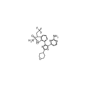 Nc1nccc(-c2sc(C3CCOCC3)nc2-c2cccc(C(CC(F)(F)F)S(N)(=O)=O)c2Cl)n1